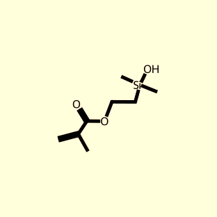 C=C(C)C(=O)OCC[Si](C)(C)O